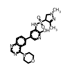 CC1=NN(C)CC1S(=O)(=O)Nc1cc(-c2ccc3ncnc(N4CCOCC4)c3c2)cnc1O